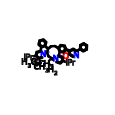 C=C1CC2C(CCc3ccc4c(oc5cnc(-c6ccccc6)cc54)c3-c3cc(C(C)C)cc[n+]31)c1ccccc1-c1cc(C(C)C)c([Si](C)(C)C)c[n+]12